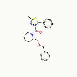 Cc1nc(C(=O)N2CCCCC2COCc2ccccc2)c(-c2ccccc2)s1